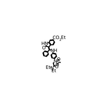 CCOC(=O)c1ccc2c(c1)NC(=O)C2=C(Nc1ccc(N(CC(=O)N(CC)CC)S(C)(=O)=O)cc1)c1ccccc1